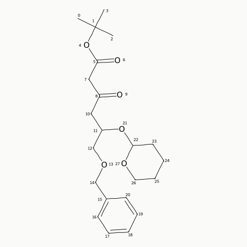 CC(C)(C)OC(=O)CC(=O)CC(COCc1ccccc1)OC1CCCCO1